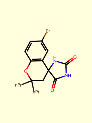 CCCC1(CCC)CC2(NC(=O)NC2=O)c2cc(Br)ccc2O1